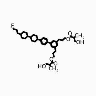 C=C(CO)C(=O)OCCCc1cc(CCCOC(=O)C(=C)CO)cc(-c2ccc(C3CCC(C4CCC(CCCF)CC4)CC3)cc2)c1